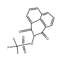 CC(F)(F)S(=O)(=O)ON1C(=O)c2cccc3cccc(c23)C1=O